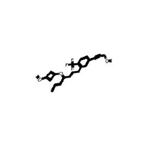 CCCC(CCCc1cc(C#CCOI)ccc1C(F)(F)F)OC1CC(OC)C1